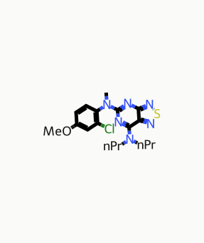 CCCN(CCC)c1nc(N(C)c2ccc(OC)cc2Cl)nc2nsnc12